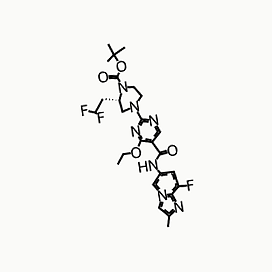 CCOc1nc(N2CCN(C(=O)OC(C)(C)C)[C@@H](CC(F)F)C2)ncc1C(=O)Nc1cc(F)c2nc(C)cn2c1